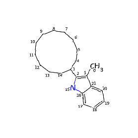 CC1=C(C2CCCCCCCCCCC2)[N]c2ccccc21